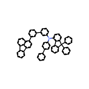 c1ccc(-c2ccc(N(c3cccc(-c4cccc(-c5ccc6c7c(cccc57)-c5ccccc5-6)c4)c3)c3cccc4c3-c3ccccc3C4(c3ccccc3)c3ccccc3)cc2)cc1